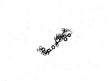 C[C@H]1CN(C(=O)C[C@H]2CC[C@H](Cc3ccc4c(c3)n(C)c(=O)n4C3CCC(=O)NC3=O)CC2)CC[C@H]2CC[C@@H](C(=O)N[C@@H](CCC(N)=O)C(=O)NC(c3ccccc3)c3ccccc3)N2C1=O